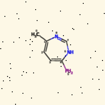 CC1=CC=C(P)NC=N1